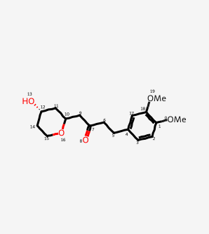 COc1ccc(CCC(=O)CC2C[C@@H](O)CCO2)cc1OC